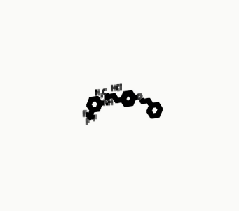 CC(CCc1ccc(OCCC2CCCCC2)cc1)NC1CCCC(C(F)(F)F)C1.Cl